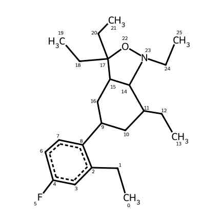 CCc1cc(F)ccc1C1CC(CC)C2C(C1)C(CC)(CC)ON2CC